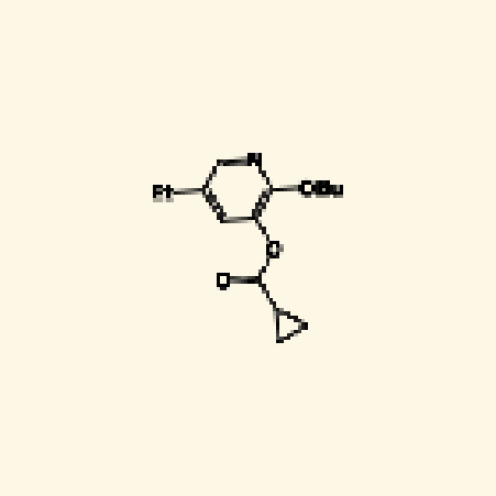 CCc1cnc(OCC(C)C)c(OC(=O)C2CC2)c1